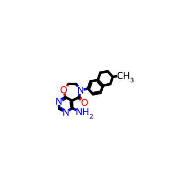 CC1CCc2cc(N3CCOc4ncnc(N)c4C3=O)ccc2C1